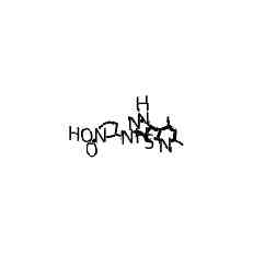 Cc1cc(C)c2c(n1)sc1c(NC3CCCN(C(=O)O)C3)n[nH]c12